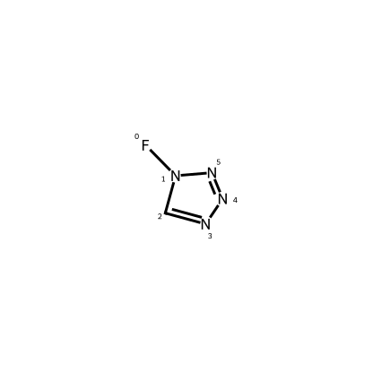 Fn1cnnn1